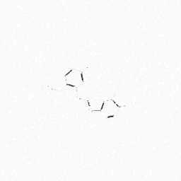 CC(=O)Oc1ccc2nc(Nc3cc(F)ccc3CN)oc2c1F